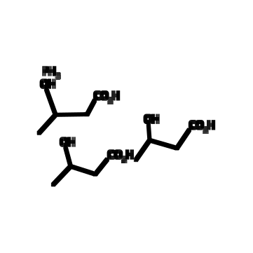 CC(O)CC(=O)O.CC(O)CC(=O)O.CC(O)CC(=O)O.P